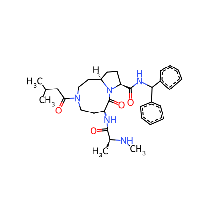 CN[C@@H](C)C(=O)N[C@H]1CCN(C(=O)CC(C)C)CC[C@H]2CC[C@@H](C(=O)NC(c3ccccc3)c3ccccc3)N2C1=O